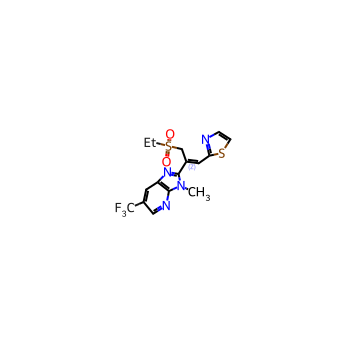 CCS(=O)(=O)C/C(=C\c1nccs1)c1nc2cc(C(F)(F)F)cnc2n1C